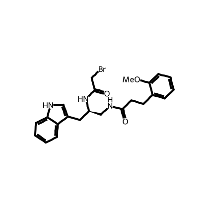 COc1ccccc1CCC(=O)NC[C@@H](Cc1c[nH]c2ccccc12)NC(=O)CBr